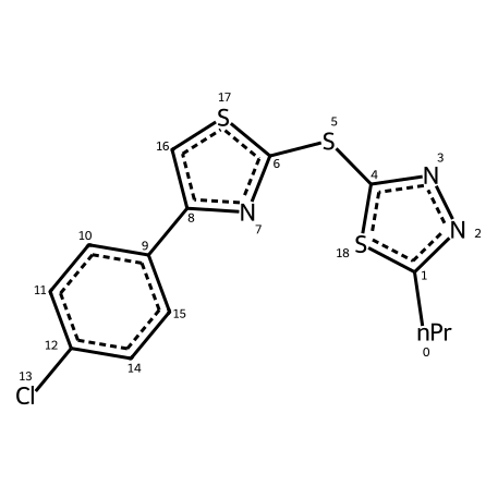 CCCc1nnc(Sc2nc(-c3ccc(Cl)cc3)cs2)s1